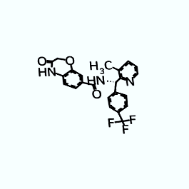 Cc1cccnc1[C@@H](NC(=O)c1ccc2c(c1)OCC(=O)N2)c1ccc(C(F)(F)F)cc1